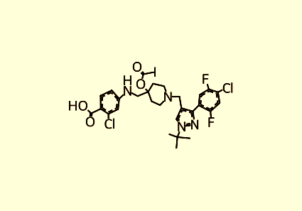 CC(C)(C)n1cc(CN2CCC(CNc3ccc(C(=O)O)c(Cl)c3)(OC(=O)I)CC2)c(-c2cc(F)c(Cl)cc2F)n1